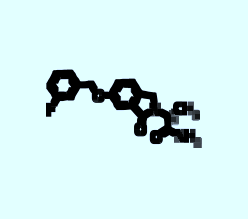 C[C@H](C(N)=O)N1Cc2ccc(OCc3cccc(F)c3)cc2C1=O